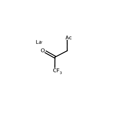 CC(=O)CC(=O)C(F)(F)F.[La]